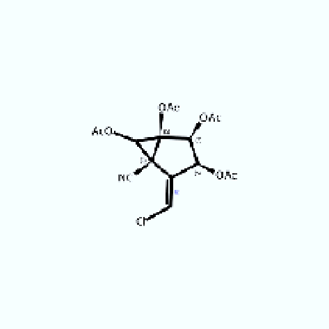 CC(=O)OC1[C@@]2(C#N)/C(=C\Cl)[C@H](OC(C)=O)[C@H](OC(C)=O)[C@@]12OC(C)=O